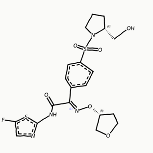 O=C(Nc1ncc(F)s1)/C(=N/O[C@@H]1CCOC1)c1ccc(S(=O)(=O)N2CCC[C@@H]2CO)cc1